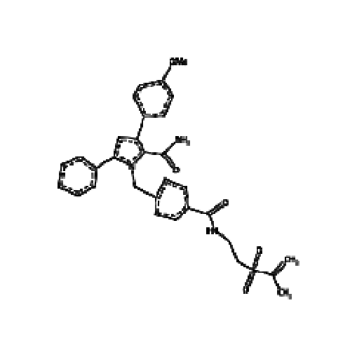 C=C(C)S(=O)(=O)CCNC(=O)c1ccc(Cn2c(-c3ccccc3)cc(-c3ccc(OC)cc3)c2C(N)=O)cc1